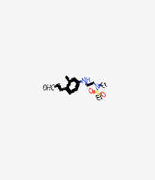 CCN(CCNc1ccc(C=CC=O)c(C)c1)S(=O)(=O)CC